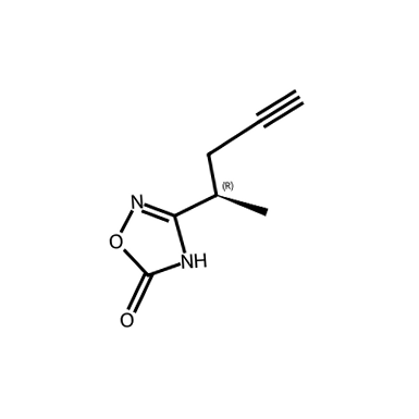 C#CC[C@@H](C)c1noc(=O)[nH]1